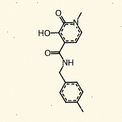 Cc1ccc(CNC(=O)c2ccn(C)c(=O)c2O)cc1